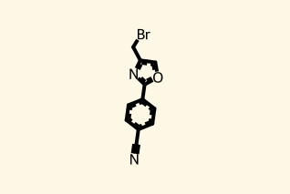 N#Cc1ccc(-c2nc(CBr)co2)cc1